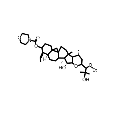 C/C=C1/C(OC(=O)N2CCOCC2)CCC23CC24CCC2(C)C5C(OC(C(OCC)C(C)(C)O)C[C@H]5C)[C@H](O)[C@@]2(C)C4CC[C@@H]13